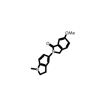 COc1ccc2c(c1)C(=O)N(c1ccc3c(c1)CCN3C)C2